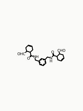 O=CC1CC=CCC1C(=O)NCc1cccc(CNC(=O)C2CC=CCC2C=O)c1